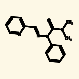 CN(C)C(=O)N(N=Cc1ccccn1)c1ccccc1